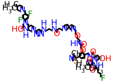 Cc1ncsc1-c1ccc(CNC(=O)[C@@H]2C[C@@H](O)CN2C(=O)[C@@H](NC(=O)CCCCF)C(C)(C)C)c(OCC(=O)NCCOCCN2CC[C@@]3(CCN(CCC(=O)NCCCNc4cc(N5CCC6(CC5)CN(c5cc(F)c(CN7CCC(C)(C)CC7)cc5F)CC(O)N6)ncn4)C3)C2)c1